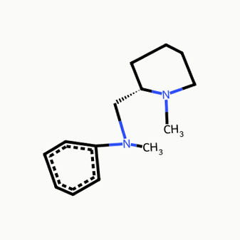 CN(C[C@@H]1CCCCN1C)c1ccccc1